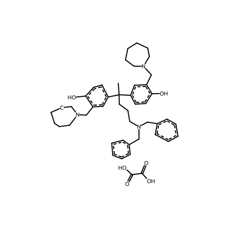 CC(CCCN(Cc1ccccc1)Cc1ccccc1)(c1ccc(O)c(CN2CCCCCC2)c1)c1ccc(O)c(CN2CCCCCC2)c1.O=C(O)C(=O)O